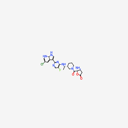 CC(Nc1nc(C2=CNC3NC=C(Cl)C=C23)ncc1F)[C@@H]1CCCN(C(=O)[C@@]2(N)CCC(=O)O2)C1